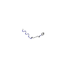 CC/C=C\C/C=C\C/C=C\C/C=C\C/C=C\C/C=C\C(=O)NCCCCNC(=O)/C=C/c1ccc(O)c(O)c1